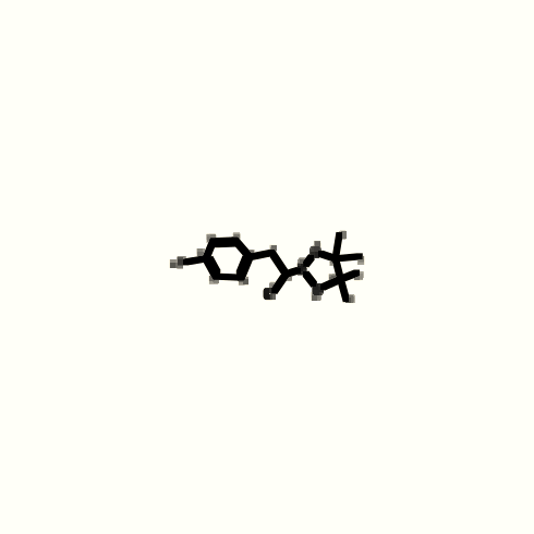 CC1(C)OB(C(Cl)Cc2ccc(F)cc2)OC1(C)C